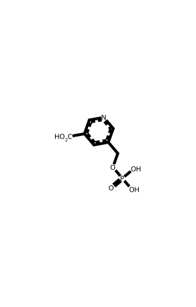 O=C(O)c1cncc(COP(=O)(O)O)c1